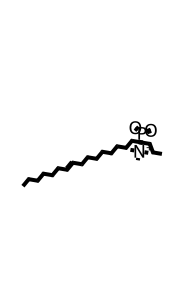 CCCCCCC=CCCCCCCCCC(CCC)(P(=O)=O)[N+](C)(C)C